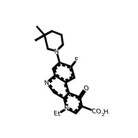 CCn1cc(C(=O)O)c(=O)c2c3cc(F)c(N4CCCC(C)(C)C4)cc3ncc21